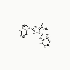 NC(=O)c1sc(-n2cnc3ccncc32)cc1OCc1ccccc1C(F)(F)F